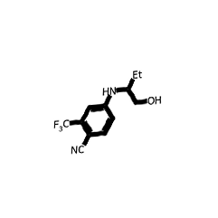 CCC(CO)Nc1ccc(C#N)c(C(F)(F)F)c1